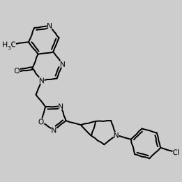 Cc1cncc2ncn(Cc3nc(C4C5CN(c6ccc(Cl)cc6)CC54)no3)c(=O)c12